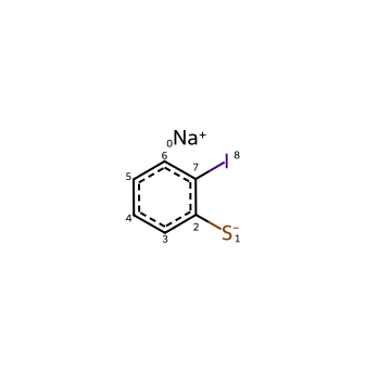 [Na+].[S-]c1ccccc1I